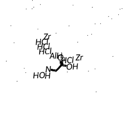 Cl.Cl.Cl.Cl.O=C(O)CNO.[AlH3].[Zr].[Zr]